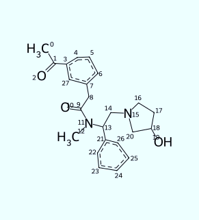 CC(=O)c1cccc(CC(=O)N(C)C(CN2CCC(O)C2)c2ccccc2)c1